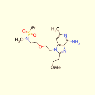 COCCc1nc2c(N)nc(C)cc2n1CCOCCN(C)S(=O)(=O)C(C)C